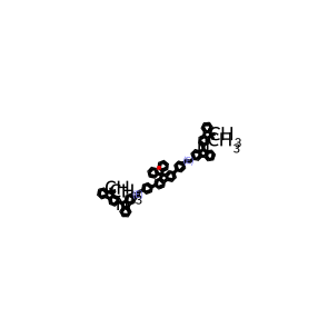 CC1(C)c2ccccc2-c2ccc(-n3c4ccccc4c4cc(/C=C/c5ccc(-c6ccc7c(c6)C(c6ccccc6)(c6ccccc6)c6cc(-c8ccc(/C=C/c9ccc%10c(c9)c9ccccc9n%10-c9ccc%10c(c9)C(C)(C)c9ccccc9-%10)cc8)ccc6-7)cc5)ccc43)cc21